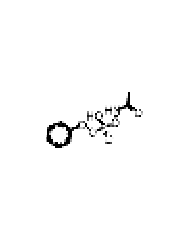 CC(=O)NOP(=O)(O)OOc1ccccc1